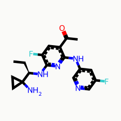 CC[C@@H](Nc1nc(Nc2cncc(F)c2)c(C(C)=O)cc1F)C1(N)CC1